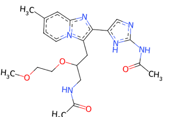 COCCOC(CNC(C)=O)Cc1c(-c2cnc(NC(C)=O)[nH]2)nc2cc(C)ccn12